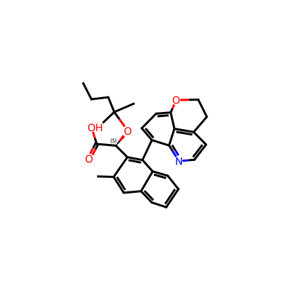 CCCC(C)(C)O[C@H](C(=O)O)c1c(C)cc2ccccc2c1-c1ccc2c3c(ccnc13)CCO2